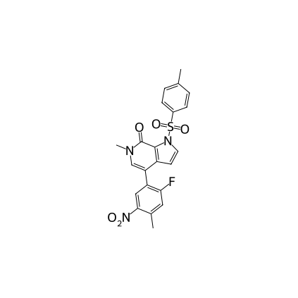 Cc1ccc(S(=O)(=O)n2ccc3c(-c4cc([N+](=O)[O-])c(C)cc4F)cn(C)c(=O)c32)cc1